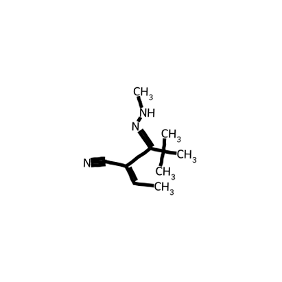 C/C=C(C#N)\C(=N\NC)C(C)(C)C